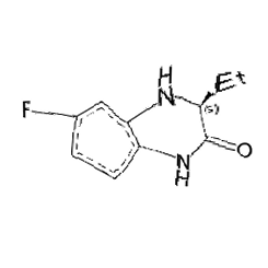 CC[C@@H]1Nc2cc(F)ccc2NC1=O